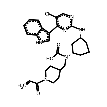 C=CC(=O)N1CCC(CN(C(=O)O)[C@H]2CCC[C@@H](Nc3ncc(Cl)c(-c4c[nH]c5ccccc45)n3)C2)CC1